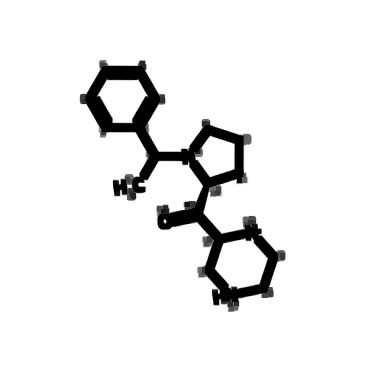 CC(c1ccccc1)N1CCC[C@H]1C(=O)C1CNCC[N]1